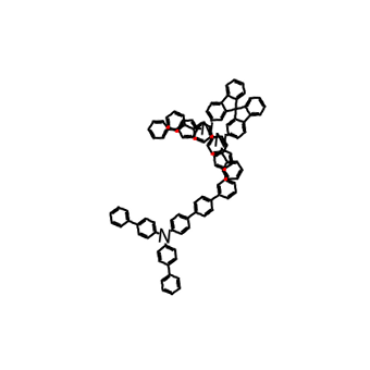 c1ccc(-c2ccc(N(c3ccc(-c4ccccc4)cc3)c3ccc(-c4ccc(-c5cccc(-c6ccc(N(c7ccc(-c8ccccc8)cc7)c7ccc8c(c7)C7(c9ccccc9-c9ccc(N(c%10ccc(-c%11ccccc%11)cc%10)c%10ccc(-c%11ccccc%11)cc%10)cc97)c7ccccc7-8)cc6)c5)cc4)cc3)cc2)cc1